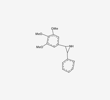 COc1cc(C2NC2c2ccccc2)cc(OC)c1OC